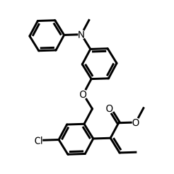 CC=C(C(=O)OC)c1ccc(Cl)cc1COc1cccc(N(C)c2ccccc2)c1